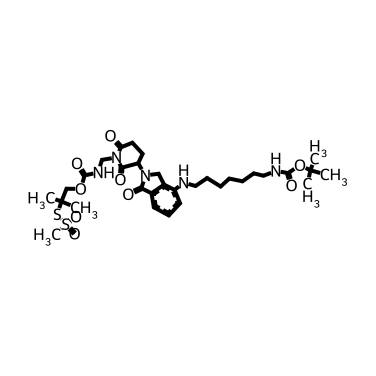 CC(C)(C)OC(=O)NCCCCCCCNc1cccc2c1CN(C1CCC(=O)N(CNC(=O)OCC(C)(C)SS(C)(=O)=O)C1=O)C2=O